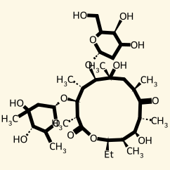 CC[C@H]1OC(=O)[C@H](C)[C@@H](O[C@H]2CC(C)(O)[C@@H](O)C(C)O2)[C@H](C)[C@@H](O[C@H]2CC(O)[C@H](O)C(CO)O2)[C@](C)(O)C[C@@H](C)C(=O)[C@H](C)[C@@H](O)[C@H]1C